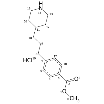 COC(=O)c1ccc(CCCC2CCNCC2)cc1.Cl